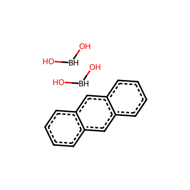 OBO.OBO.c1ccc2cc3ccccc3cc2c1